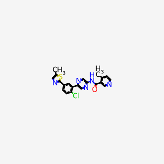 Cc1cnc(-c2ccc(Cl)c(-c3cnc(NC(=O)c4cnccc4C)cn3)c2)s1